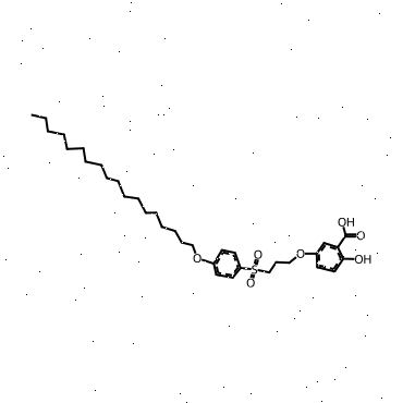 CCCCCCCCCCCCCCCCCCOc1ccc(S(=O)(=O)CCCOc2ccc(O)c(C(=O)O)c2)cc1